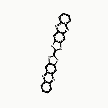 c1ccc2nc3cc4c(cc3nc2c1)SC(=C1Sc2cc3nc5ccccc5nc3cc2S1)S4